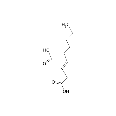 CCCCCC=CCC(=O)O.O=CO